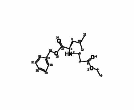 CCOC(=O)CCN[C@H](CC(C)C)C(=O)OCc1ccccc1